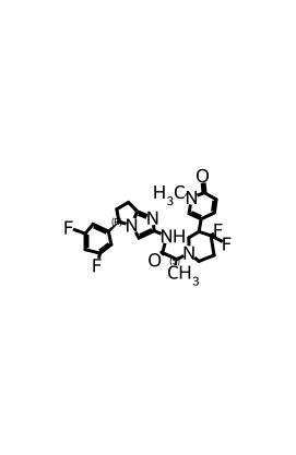 C[C@@H](C(=O)Nc1cn2c(n1)CC[C@@H]2c1cc(F)cc(F)c1)N1CCC(F)(F)C(c2ccc(=O)n(C)c2)C1